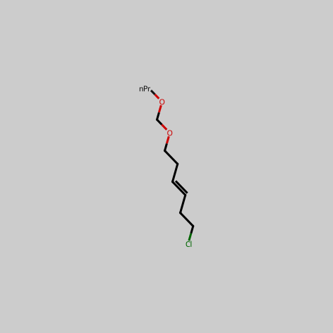 CCCOCOCCC=CCCCl